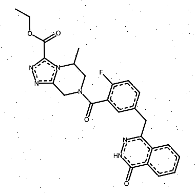 CCOC(=O)c1nnc2n1C(C)CN(C(=O)c1cc(Cc3n[nH]c(=O)c4ccccc34)ccc1F)C2